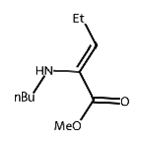 CCC=C(NCCCC)C(=O)OC